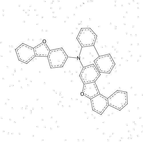 c1ccc(-c2ccccc2N(c2ccc3c(c2)oc2ccccc23)c2ccc3c(c2)oc2ccc4ccccc4c23)cc1